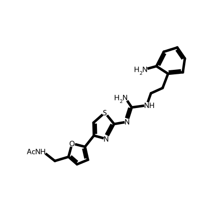 CC(=O)NCc1ccc(-c2csc(/N=C(\N)NCCc3ccccc3N)n2)o1